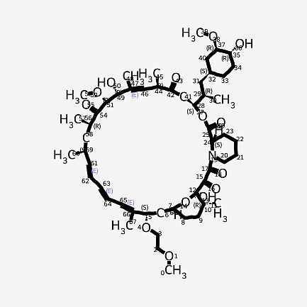 COCCO[C@H]1C[C@@H]2CC[C@@H](C)[C@@](O)(O2)C(=O)C(=O)N2CCCC[C@H]2C(=O)O[C@H]([C@H](C)C[C@@H]2CC[C@@H](O)[C@H](OC)C2)CC(=O)[C@H](C)/C=C(\C)[C@@H](O)[C@@H](OC)C(=O)[C@H](C)C[C@H](C)/C=C/C=C/C=C/1C